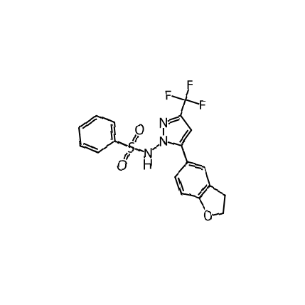 O=S(=O)(Nn1nc(C(F)(F)F)cc1-c1ccc2c(c1)CCO2)c1ccccc1